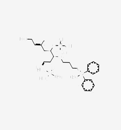 C=C[C@@H](O[Si](C)(C)C(C)(C)C)[C@H](OCCCO[Si](c1ccccc1)(c1ccccc1)C(C)(C)C)[C@@H](C/C(I)=C/CO)O[Si](C)(C)C(C)(C)C